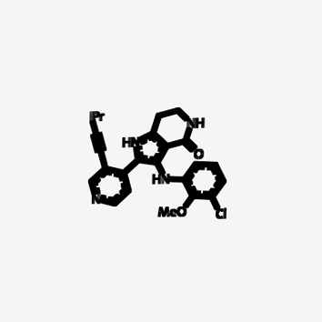 COc1c(Cl)cccc1Nc1c(-c2ccncc2C#CC(C)C)[nH]c2c1C(=O)NCC2